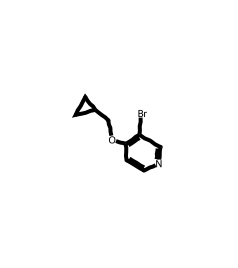 Brc1cnccc1OCC1CC1